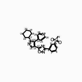 CS(=O)(=O)c1cccc(-c2noc(-c3cnn(C4CCCCC4)c3-c3ccncc3)n2)c1